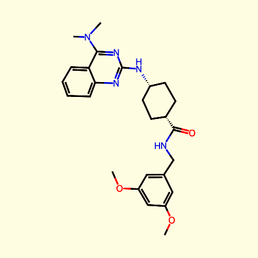 COc1cc(CNC(=O)[C@H]2CC[C@@H](Nc3nc(N(C)C)c4ccccc4n3)CC2)cc(OC)c1